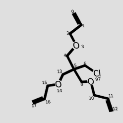 C=CCOCC(CCl)(COCC=C)COCC=C